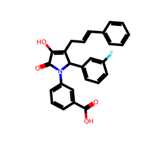 O=C(O)c1cccc(N2C(=O)C(O)=C(C/C=C/c3ccccc3)C2c2cccc(F)c2)c1